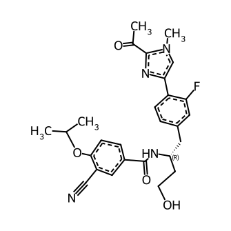 CC(=O)c1nc(-c2ccc(C[C@H](CCO)NC(=O)c3ccc(OC(C)C)c(C#N)c3)cc2F)cn1C